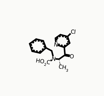 C[C@@H](C(=O)c1cc(Cl)ccn1)N(Cc1ccccc1)C(=O)O